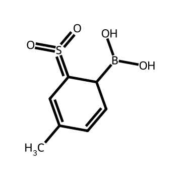 CC1=CC(=S(=O)=O)C(B(O)O)C=C1